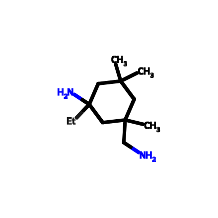 CCC1(N)CC(C)(C)CC(C)(CN)C1